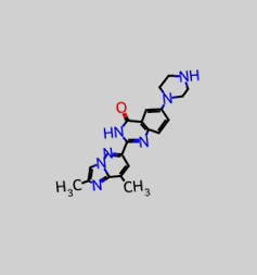 Cc1cn2nc(-c3nc4ccc(N5CCNCC5)cc4c(=O)[nH]3)cc(C)c2n1